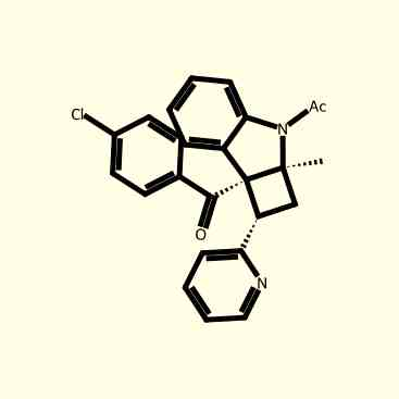 CC(=O)N1c2ccccc2[C@]2(C(=O)c3ccc(Cl)cc3)[C@@H](c3ccccn3)C[C@]12C